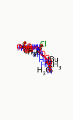 Cc1ncsc1-c1ccc([C@H](C)NC(=O)[C@@H]2CCCN2C(=O)C(NC(=O)CCCCCC(=O)NCCN(C)CC2(C)CCC(c3ccc(Cl)cc3)=C(CN3CCN(c4ccc(C(=O)NS(=O)(=O)c5ccc(N[C@H](CCN6CCOCC6)CSc6ccccc6)c(S(=O)(=O)C(F)(F)F)c5)cc4)CC3)C2)C(C)(C)C)cc1